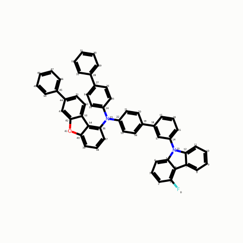 Fc1cccc2c1c1ccccc1n2-c1cccc(-c2ccc(N(c3ccc(-c4ccccc4)cc3)c3cccc4oc5cc(-c6ccccc6)ccc5c34)cc2)c1